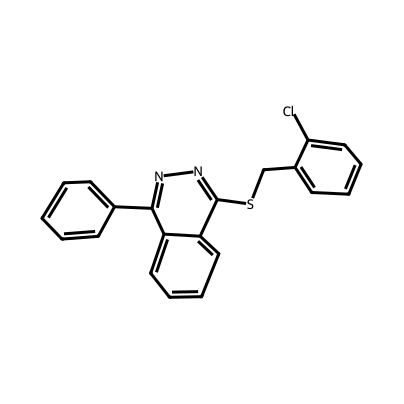 Clc1ccccc1CSc1nnc(-c2ccccc2)c2ccccc12